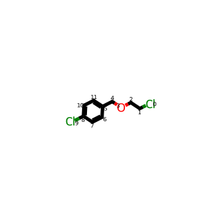 ClCCOCc1ccc(Cl)cc1